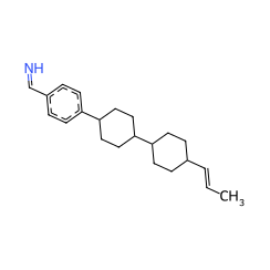 C/C=C/C1CCC(C2CCC(c3ccc(C=N)cc3)CC2)CC1